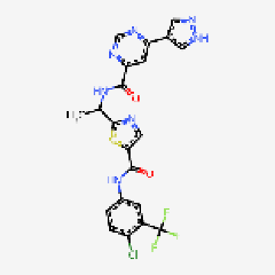 CC(NC(=O)c1cc(-c2cn[nH]c2)ncn1)c1ncc(C(=O)Nc2ccc(Cl)c(C(F)(F)F)c2)s1